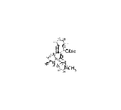 COC(C(=O)Nc1ccc(F)c(CN2CCN(C)CC2)c1C)c1ccccc1